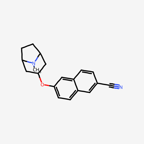 CN1C2CCC1CC(Oc1ccc3cc(C#N)ccc3c1)C2